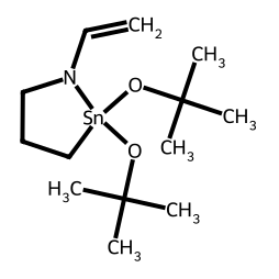 C=C[N]1CC[CH2][Sn]1([O]C(C)(C)C)[O]C(C)(C)C